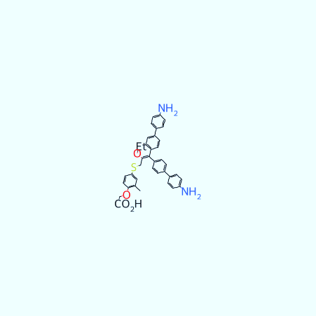 CCOC(CSc1ccc(OCC(=O)O)c(C)c1)=C(c1ccc(-c2ccc(N)cc2)cc1)c1ccc(-c2ccc(N)cc2)cc1